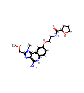 CCCn1c(COCC)nc2c(N)nc3ccc(OCCNC(=O)C4CCCO4)cc3c21